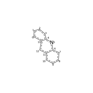 [c]1cccc2nc3ccccc3cc12